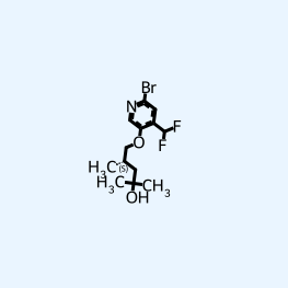 C[C@H](COc1cnc(Br)cc1C(F)F)CC(C)(C)O